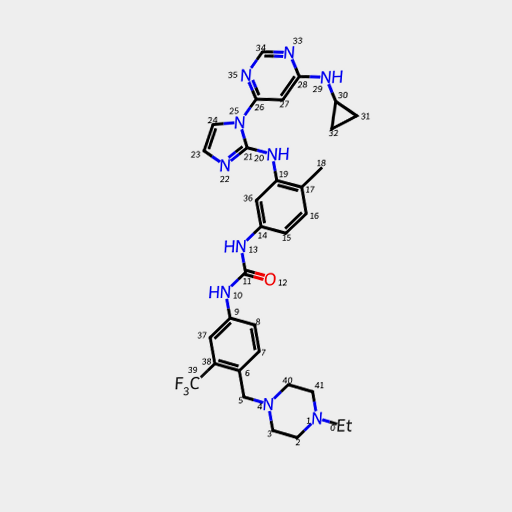 CCN1CCN(Cc2ccc(NC(=O)Nc3ccc(C)c(Nc4nccn4-c4cc(NC5CC5)ncn4)c3)cc2C(F)(F)F)CC1